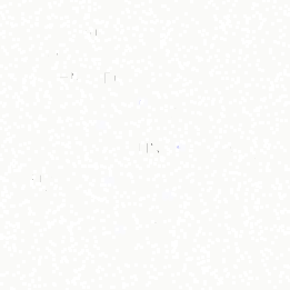 C=C/C=C(\C=C(\C)CC)C/C=C\C(=C/C=C)NC(=O)C(/C=C\CNS(=O)(=O)C(C)(C)C)=C/CC